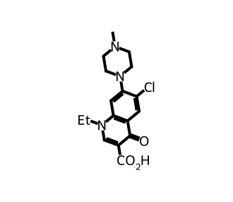 CCn1cc(C(=O)O)c(=O)c2cc(Cl)c(N3CCN(C)CC3)cc21